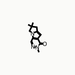 Cn1ncc2c(cc3n2CC(C)(C)C3)c1=O